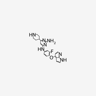 Nc1nc(Nc2ccc(Oc3ccnc4[nH]ccc34)c(F)c2)cc(C2CCNCC2)n1